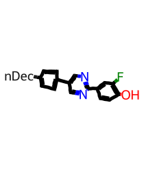 CCCCCCCCCCc1ccc(-c2cnc(-c3ccc(O)c(F)c3)nc2)cc1